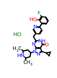 CC1CC(n2nc(C3CC3)c3c(=O)[nH]c(Cc4ccc(-c5cccc(F)c5O)nc4)nc32)CC(C)N1.Cl